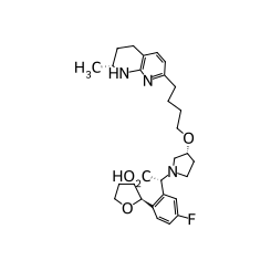 C[C@@H]1CCc2ccc(CCCCO[C@@H]3CCN([C@@H](C(=O)O)c4cc(F)ccc4[C@@H]4CCCO4)C3)nc2N1